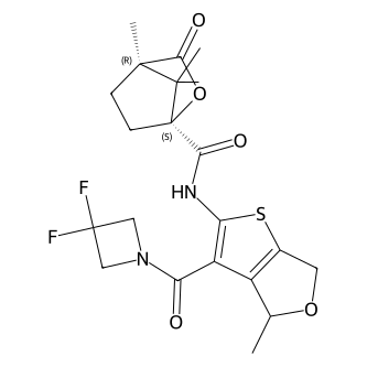 CC1OCc2sc(NC(=O)[C@@]34CC[C@@](C)(C(=O)O3)C4(C)C)c(C(=O)N3CC(F)(F)C3)c21